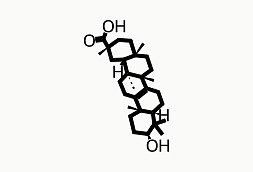 CC1(C)[C@@H](O)CC[C@]2(C)C3=C(CC[C@@H]12)[C@@]1(C)CC[C@@]2(C)CC[C@@](C)(C(=O)O)C[C@H]2[C@]1(C)CC3